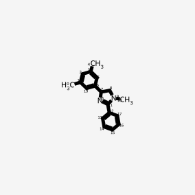 Cc1cc(C)cc(C2CN(C)C(c3ccccc3)=N2)c1